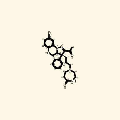 CC(=O)C1=NN2c3cc(F)ccc3OCC2[C@@]1(CCCN1CCNC(=O)CC1)c1ccccc1